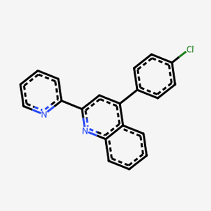 Clc1ccc(-c2cc(-c3ccccn3)nc3ccccc23)cc1